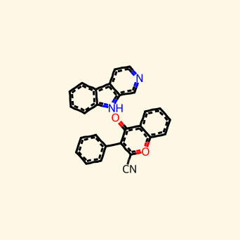 N#Cc1oc2ccccc2c(=O)c1-c1ccccc1.c1ccc2c(c1)[nH]c1cnccc12